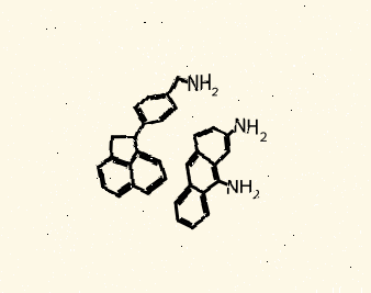 NCc1ccc(C2Cc3cccc4cccc2c34)cc1.Nc1ccc2cc3ccccc3c(N)c2c1